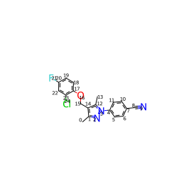 Cc1nn(-c2ccc(C#N)cc2)c(C)c1COc1ccc(F)cc1Cl